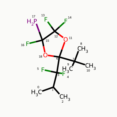 CC(C)C(F)(F)C1(C(C)(C)C)OC(F)(F)C(F)(P)O1